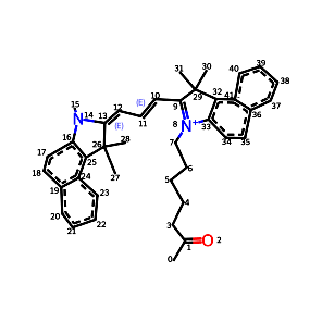 CC(=O)CCCCC[N+]1=C(/C=C/C=C2/N(C)c3ccc4ccccc4c3C2(C)C)C(C)(C)c2c1ccc1ccccc21